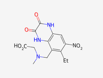 CCc1c([N+](=O)[O-])cc2[nH]c(=O)c(=O)[nH]c2c1CN(C)CC(=O)O